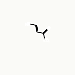 NC(=O)/C=C/O